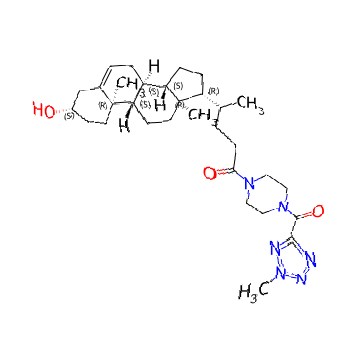 CC(CCC(=O)N1CCN(C(=O)c2nnn(C)n2)CC1)[C@H]1CC[C@H]2[C@@H]3CC=C4C[C@@H](O)CC[C@]4(C)[C@H]3CC[C@]12C